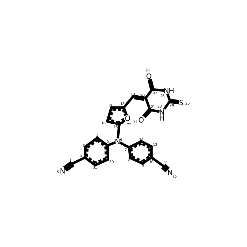 N#Cc1ccc(N(c2ccc(C#N)cc2)c2ccc(C=C3C(=O)NC(=S)NC3=O)o2)cc1